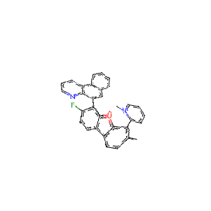 Cc1ccc2c(oc3c(-c4cc5ccccc5c5cccnc45)c(F)ccc32)c1-c1cccc[n+]1C